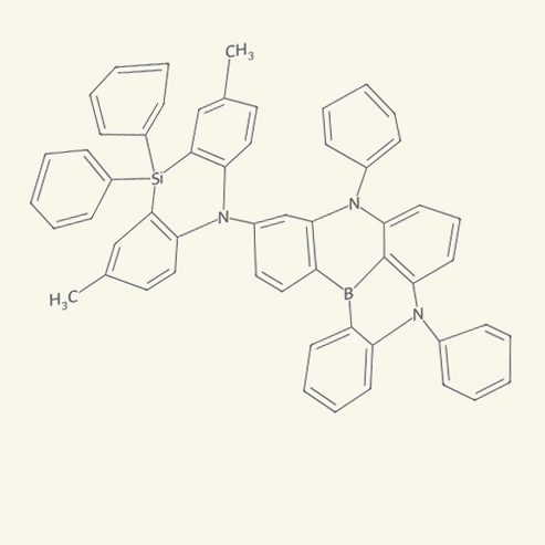 Cc1ccc2c(c1)[Si](c1ccccc1)(c1ccccc1)c1cc(C)ccc1N2c1ccc2c(c1)N(c1ccccc1)c1cccc3c1B2c1ccccc1N3c1ccccc1